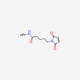 CCCNC(=O)CCCCN1C(=O)C=CC1=O